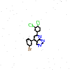 Clc1ccc(-c2cc(-c3cccc(Br)c3)c3cncnc3n2)cc1Cl